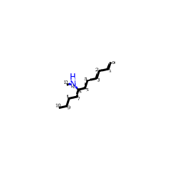 CCCCCCC(CCCC)NC